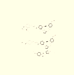 COC(=O)c1ccc(S(=O)(=O)Cc2ccn(C)n2)c(C#Cc2ccc(C(=O)NCCN3CCN(C(=O)O)C(C(C)(C)C)C3)cc2)c1.COC(=O)c1ccc(S(=O)(=O)Cc2ccn(C)n2)c(C#Cc2ccc(C(=O)NCCN3CCN(C(=O)OC(C)(C)C)CC3)cc2)c1.COC(=O)c1ccc(S(=O)(=O)Cc2ccn(C)n2)c(I)c1